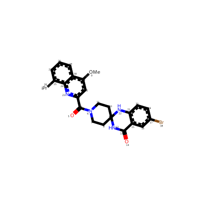 COc1cc(C(=O)N2CCC3(CC2)NC(=O)c2cc(Br)ccc2N3)nc2c(C(C)C)cccc12